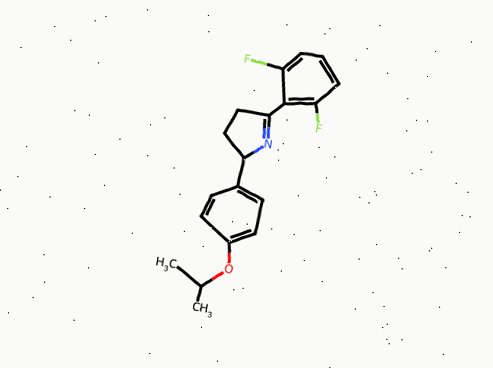 CC(C)Oc1ccc(C2CCC(c3c(F)cccc3F)=N2)cc1